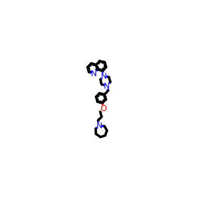 c1cc(CN2CCN(c3cccc4cccnc34)CC2)cc(OCCCN2CCCCCC2)c1